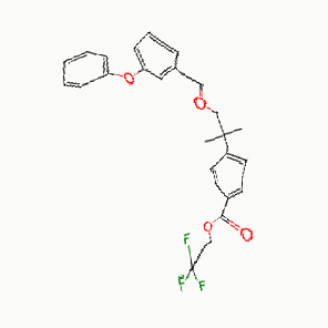 CC(C)(COCc1cccc(Oc2ccccc2)c1)c1ccc(C(=O)OCC(F)(F)F)cc1